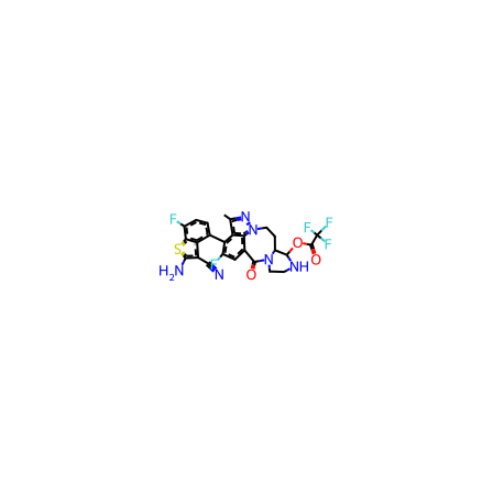 Cc1nn2c3c(cc(F)c(-c4ccc(F)c5sc(N)c(C#N)c45)c13)C(=O)N1CCNC(OC(=O)C(F)(F)F)C1CC2